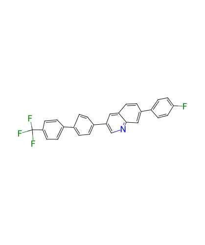 Fc1ccc(-c2ccc3cc(-c4ccc(-c5ccc(C(F)(F)F)cc5)cc4)cnc3c2)cc1